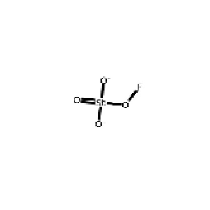 [O]=[Sb]([O-])([O-])[O]F